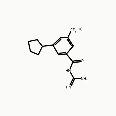 Cl.N=C(N)NC(=O)c1cc(C2CCCC2)cc(C(F)(F)F)c1